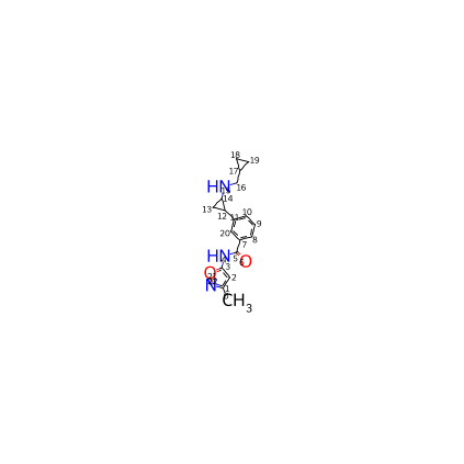 Cc1cc(NC(=O)c2cccc(C3CC3NCC3CC3)c2)on1